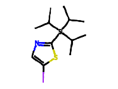 CC(C)[Si](c1ncc(I)s1)(C(C)C)C(C)C